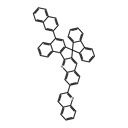 c1ccc2c(c1)-c1ccccc1C21c2cc3ccc(-c4ccc5ccccc5n4)cc3nc2-c2c1cc(-c1ccc3ccccc3c1)c1ccccc21